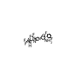 N[C@H]1C[C@@H](N2Cc3nc(-c4nn(C(F)F)[nH]4)n(C(F)F)c3C2)CO[C@@H]1c1cc(F)ccc1F